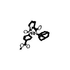 COC(=O)c1ccc(S(=O)(=O)N2CCCC2C(=O)NC2C3CC4CC(C3)CC2C4)cc1